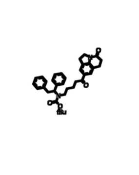 CC(C)(C)OC(=O)N(CCCCC(=O)c1cc2c3c(c1)CCN3C(=O)CC2)C(Cc1ccccc1)c1ccccc1